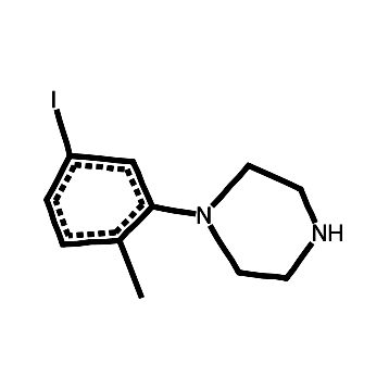 Cc1ccc(I)cc1N1CCNCC1